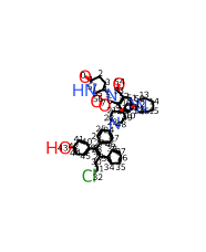 O=C1CCC(N2C(=O)c3ccc(N4C5CCC4CN(CC4CCN(c6ccc(C(=C(CCCl)c7ccccc7)c7ccc(O)cc7)cc6)CC4)C5)cc3C2=O)C(=O)N1